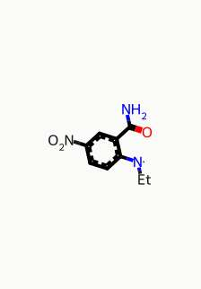 CC[N]c1ccc([N+](=O)[O-])cc1C(N)=O